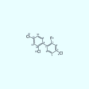 Fc1cc(Cl)ccc1-c1ccc(Cl)[c]c1Cl